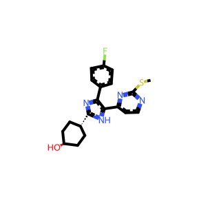 CSc1nccc(-c2[nH]c([C@H]3CC[C@H](O)CC3)nc2-c2ccc(F)cc2)n1